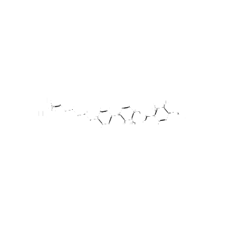 CCOc1ccc(C(=O)Oc2ccc(-c3ccc(CCCCC/C=C(\C)F)cc3)cc2F)c(F)c1F